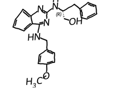 COc1ccc(CNc2nc(N[C@@H](CO)Cc3ccccc3)nc3ccccc23)cc1